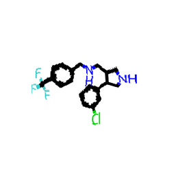 FC(F)(F)c1ccc(CNCC2CNCC2c2cccc(Cl)c2)cc1